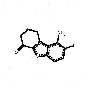 Nc1c(Cl)ccc2[nH]c3c(c12)CCCC3=O